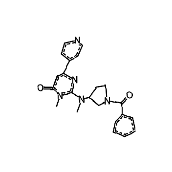 CN(c1nc(-c2ccncc2)cc(=O)n1C)C1CCN(C(=O)c2ccccc2)C1